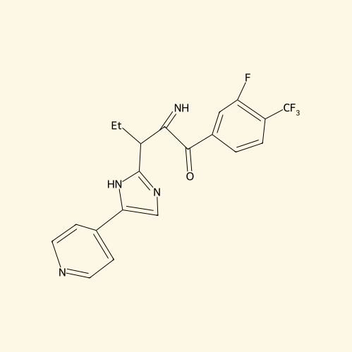 CCC(C(=N)C(=O)c1ccc(C(F)(F)F)c(F)c1)c1ncc(-c2ccncc2)[nH]1